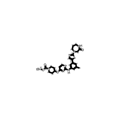 Cc1cc(Nc2nccc(OC3CCN(C(=O)OC(C)(C)C)CC3)n2)cc(-c2cnc(N3CCCNC(=O)C3)s2)c1